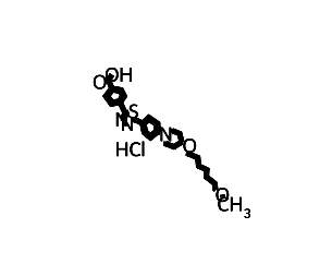 COCCCCCCCOC1CCN(c2ccc(-c3nnc(-c4ccc(C(=O)O)cc4)s3)cc2)CC1.Cl